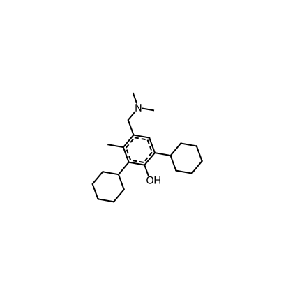 Cc1c(CN(C)C)cc(C2CCCCC2)c(O)c1C1CCCCC1